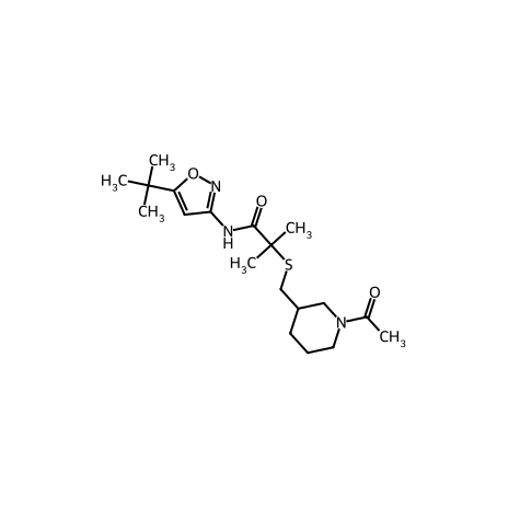 CC(=O)N1CCCC(CSC(C)(C)C(=O)Nc2cc(C(C)(C)C)on2)C1